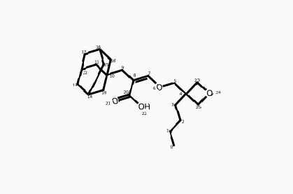 CCCCC1(COC=C(CC23CC4CC(CC(C4)C2)C3)C(=O)O)COC1